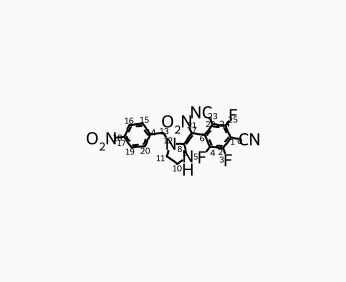 N#Cc1c(F)c(F)c(C(=C2NCCN2Cc2ccc([N+](=O)[O-])cc2)[N+](=O)[O-])c(C#N)c1F